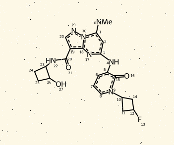 CNc1cc(Nc2cccn(C3CC(F)C3)c2=O)nc2c(C(=O)NC3CCC3O)cnn12